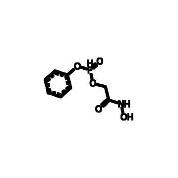 O=C(CO[PH](=O)Oc1ccccc1)NO